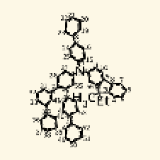 CCC1(C)c2ccccc2-c2ccc(N(c3ccc(-c4ccccc4)cc3)c3ccc(-c4cccc(-c5ccccc5)c4)c(-c4ccc(-c5ccccc5)cc4)c3)cc21